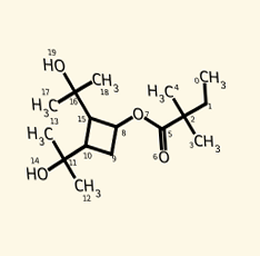 CCC(C)(C)C(=O)OC1CC(C(C)(C)O)C1C(C)(C)O